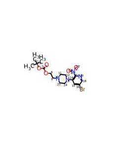 CC(C)(C)OC(=O)OCCN1CCN(c2cc(Br)cnc2[N+](=O)[O-])CC1